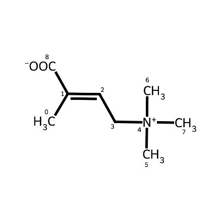 CC(=CC[N+](C)(C)C)C(=O)[O-]